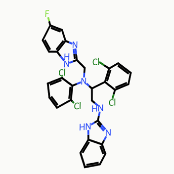 Fc1ccc2[nH]c(CN(c3c(Cl)cccc3Cl)C(CNc3nc4ccccc4[nH]3)c3c(Cl)cccc3Cl)nc2c1